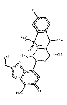 CC(c1ccc(F)cc1P(C)(C)=O)N1C[C@H](C)N(c2cc(=O)n(C)c3cn(CC#N)nc23)C[C@H]1C